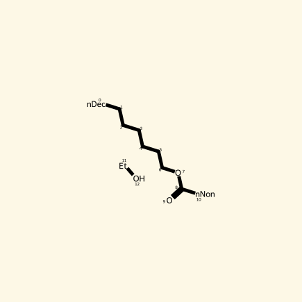 CCCCCCCCCCCCCCCCOC(=O)CCCCCCCCC.CCO